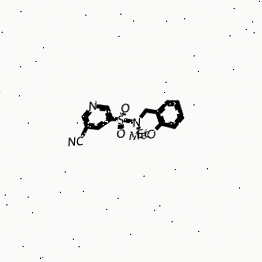 CCN(Cc1ccccc1OC)S(=O)(=O)c1cncc(C#N)c1